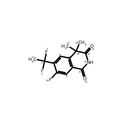 CC(F)(F)c1cc2c(cc1F)C(=O)NC(=O)C2(C)C